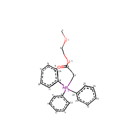 COCOC(=O)C[PH](c1ccccc1)(c1ccccc1)c1ccccc1